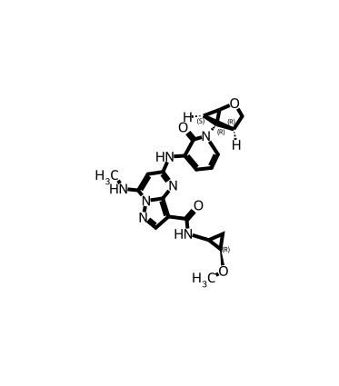 CNc1cc(Nc2cccn([C@]34C5OC[C@@H]3[C@H]54)c2=O)nc2c(C(=O)NC3C[C@H]3OC)cnn12